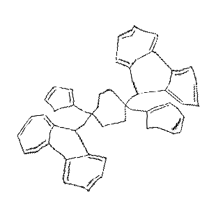 C1=CCC(C2(C3c4ccccc4-c4ccccc43)CCC(C3=CC=CC3)(C3c4ccccc4-c4ccccc43)CC2)=C1